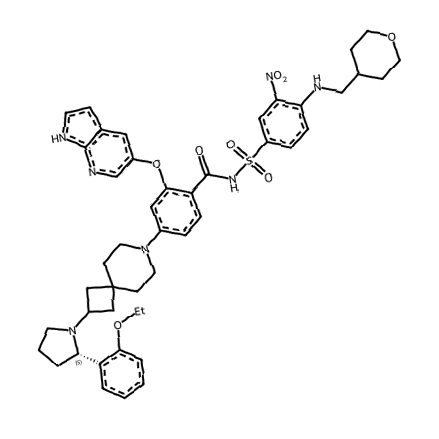 CCOc1ccccc1[C@@H]1CCCN1C1CC2(CCN(c3ccc(C(=O)NS(=O)(=O)c4ccc(NCC5CCOCC5)c([N+](=O)[O-])c4)c(Oc4cnc5[nH]ccc5c4)c3)CC2)C1